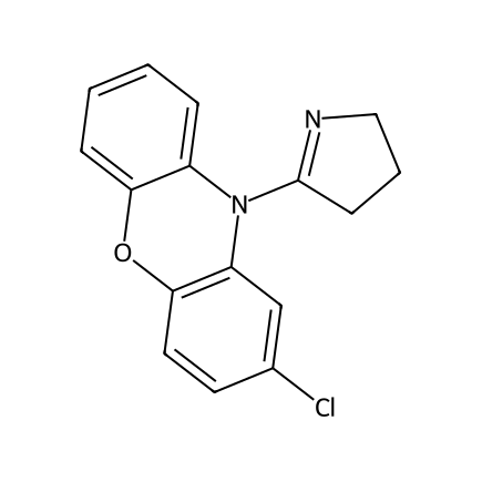 Clc1ccc2c(c1)N(C1=NCCC1)c1ccccc1O2